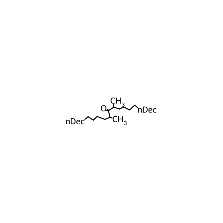 CCCCCCCCCCCCCCC(C)C(=O)C(C)CCCCCCCCCCCCCC